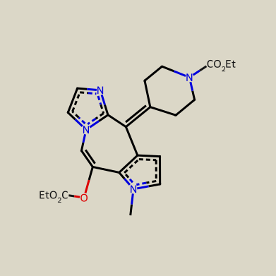 CCOC(=O)OC1=Cn2ccnc2C(=C2CCN(C(=O)OCC)CC2)c2ccn(C)c21